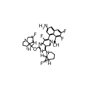 [2H]C([2H])(Oc1nc(N2CCC[C@@H]3[C@@H](F)[C@@H]32)c2cnc(-c3cc(N)cc4cc(F)c(F)c(C#C)c34)c(F)c2n1)[C@@]12CCCN1C[C@H](F)C2